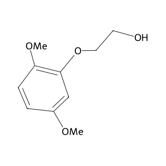 COc1ccc(OC)c(OCCO)c1